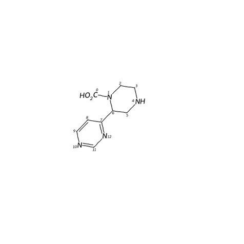 O=C(O)N1CCNCC1c1ccncn1